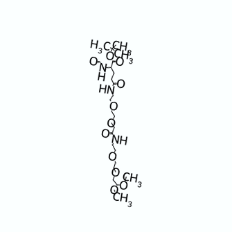 COC(COCCOCCNC(=O)COCCOCCNC(=O)CCC(NC=O)C(=O)OC(C)(C)C)OC